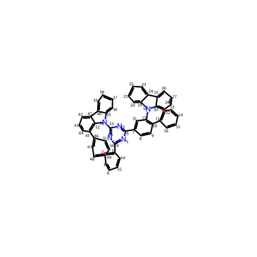 c1ccc(-c2nc(-c3ccc(-c4ccccc4)c(-n4c5ccccc5c5ccccc54)c3)nc(-n3c4ccccc4c4cccc(-c5ccccc5)c43)n2)cc1